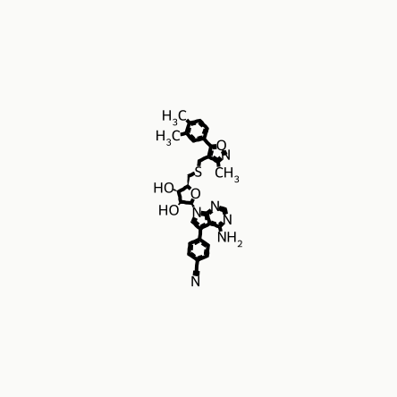 Cc1ccc(-c2onc(C)c2CSC[C@H]2O[C@@H](n3cc(-c4ccc(C#N)cc4)c4c(N)ncnc43)[C@H](O)[C@@H]2O)cc1C